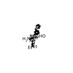 CCC(CC)COc1nc(N)c([N+](=O)[O-])c(N(CC=O)Cc2cccc(CN3CCCC3)c2)n1